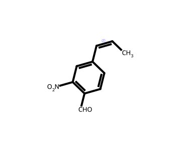 C/C=C\c1ccc(C=O)c([N+](=O)[O-])c1